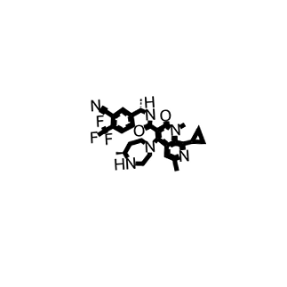 Cc1cc2c(N3CCN[C@@H](C)CC3)c(C(=O)N[C@@H](C)c3ccc(C(F)(F)F)c(C#N)c3)c(=O)n(C)c2c(C2CC2)n1